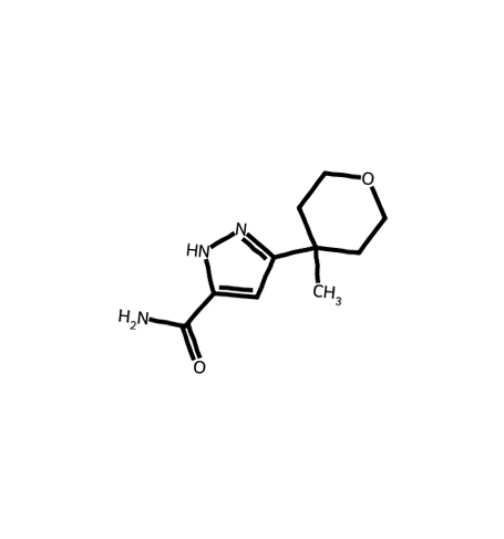 CC1(c2cc(C(N)=O)[nH]n2)CCOCC1